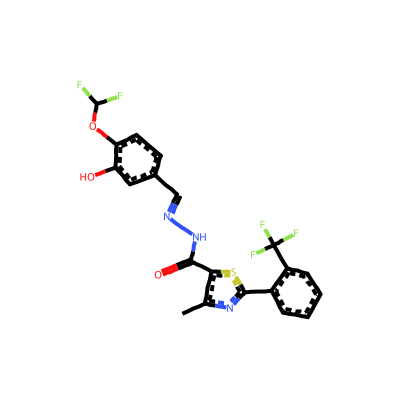 Cc1nc(-c2ccccc2C(F)(F)F)sc1C(=O)N/N=C/c1ccc(OC(F)F)c(O)c1